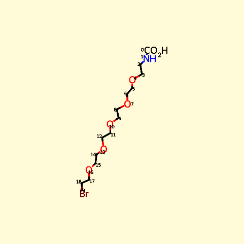 O=C(O)NCCOCCOCCOCCOCCOCCBr